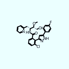 CO[C@H](CO)[C@@H](Cc1ccccn1)NC(=O)c1cccc(Cl)c1-c1cc(-c2ccc(F)cc2)[nH]n1